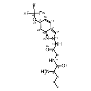 CCCC(N)C(=O)NCC(=O)Nn1cc2ccc(OC(F)(F)F)cc2n1